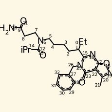 CCC(CCCCN(CCC(N)=O)C(=O)C(C)C)c1nc2onc(C)c2c(=O)n1Cc1ccccc1